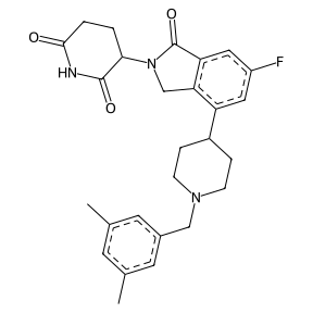 Cc1cc(C)cc(CN2CCC(c3cc(F)cc4c3CN(C3CCC(=O)NC3=O)C4=O)CC2)c1